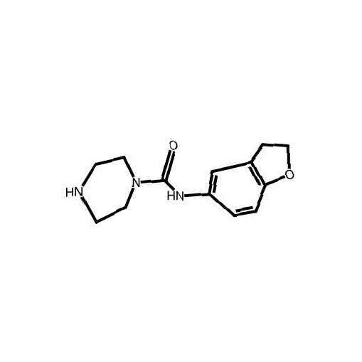 O=C(Nc1ccc2c(c1)CCO2)N1CCNCC1